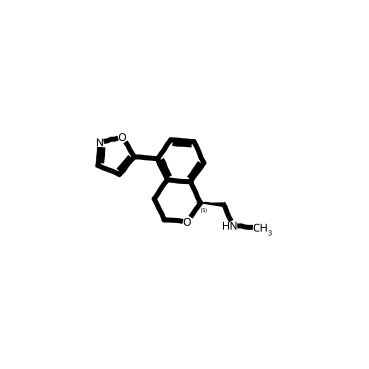 CNC[C@H]1OCCc2c(-c3ccno3)cccc21